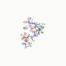 CC(C)(C)[C@H](NC(=O)C(F)(F)F)C(=O)N1[C@H]2CC[C@@H]([C@@H]1C(=O)N[C@H](/C=C(\F)S(C)(=O)=O)C[C@@H]1CCNC1=O)C(F)(F)C2